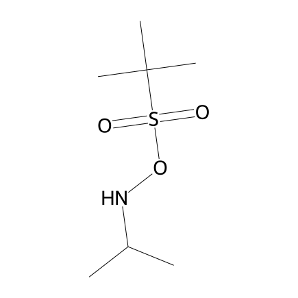 CC(C)NOS(=O)(=O)C(C)(C)C